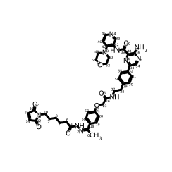 C/C(=N/NC(=O)CCCCCN1C(=O)C=CC1=O)c1ccc(OCC(=O)NCCc2ccc(-c3cnc(N)c(C(=O)Nc4cnccc4N4CCOCC4)n3)cc2)cc1